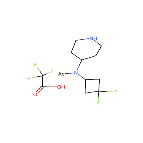 CC(=O)N(C1CCNCC1)C1CC(F)(F)C1.O=C(O)C(F)(F)F